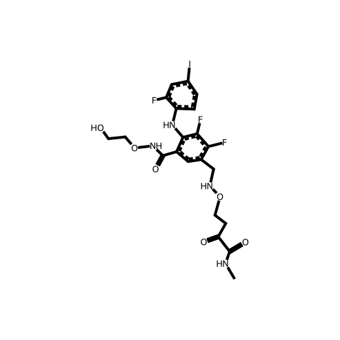 CNC(=O)C(=O)CCONCc1cc(C(=O)NOCCO)c(Nc2ccc(I)cc2F)c(F)c1F